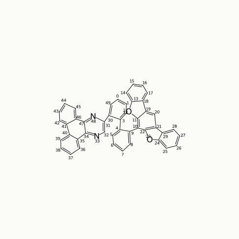 c1ccc(-c2ccccc2-c2c3oc4ccccc4c3cc3c2oc2ccccc23)c(-c2cnc3c4ccccc4c4ccccc4c3n2)c1